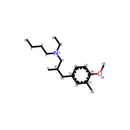 CCCCN(CC)CC(C)Cc1ccc(OC)c(C)c1